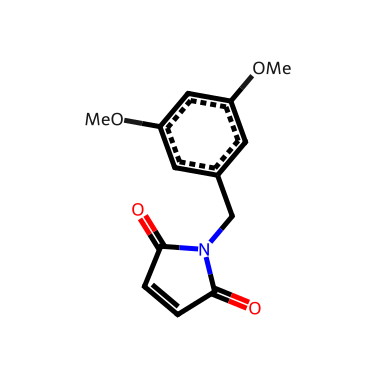 COc1cc(CN2C(=O)C=CC2=O)cc(OC)c1